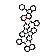 C1=CCCC(n2c3ccccc3c3cc(N(c4ccccc4)c4cc5c(cc4-c4ccccc4)-c4ccccc4C54c5ccccc5-c5cc(-c6ccccc6)c(N(c6ccccc6)c6ccccc6)cc54)ccc32)=C1